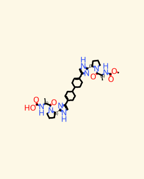 COC(=O)N[C@@H](C)C(=O)N1CCC[C@H]1c1nc(C2=CCC(C3CC=C(c4c[nH]c([C@@H]5CCCN5C(=O)[C@H](C)NC(=O)O)n4)CC3)CC2)c[nH]1